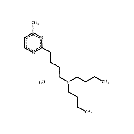 CCCCP(CCCC)CCCCc1nccc(C)n1.Cl